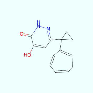 O=c1[nH]nc(C2(C3=CCC=CC=C3)CC2)cc1O